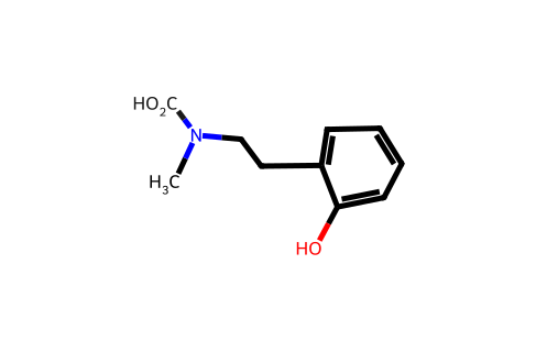 CN(CCc1ccccc1O)C(=O)O